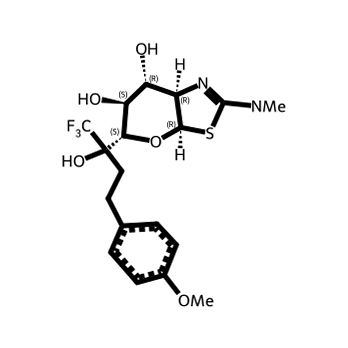 CNC1=N[C@@H]2[C@@H](O)[C@H](O)[C@@H](C(O)(CCc3ccc(OC)cc3)C(F)(F)F)O[C@@H]2S1